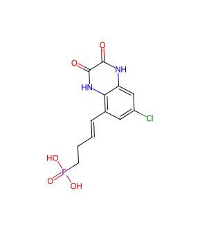 O=c1[nH]c2cc(Cl)cc(C=CCCP(=O)(O)O)c2[nH]c1=O